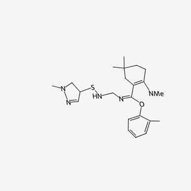 CNC1=C(/C(=N\CNSC2C=NN(C)C2)Oc2ccccc2C)CC(C)(C)CC1